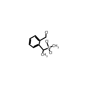 CC(c1ccccc1CCl)[Si](C)(Cl)Cl